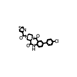 O=C1Nc2ccc(-c3ccc(Cl)cc3)cc2C(=O)N2CCN(C(=O)c3cscn3)CC12